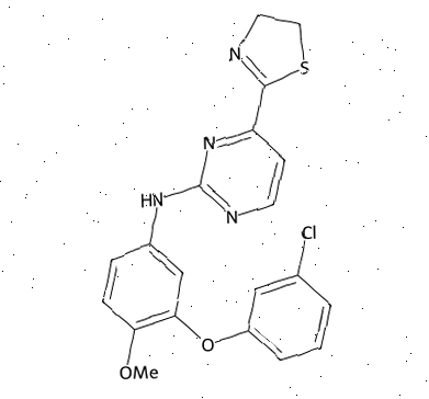 COc1ccc(Nc2nccc(C3=NCCS3)n2)cc1Oc1cccc(Cl)c1